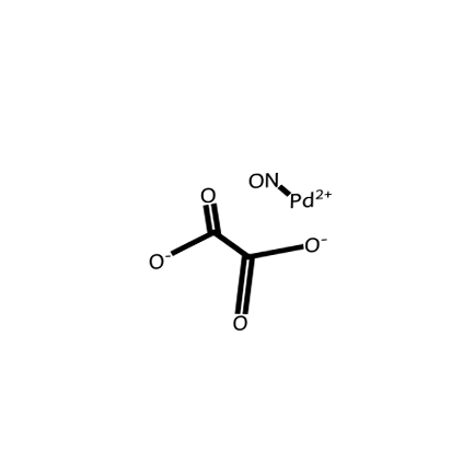 O=C([O-])C(=O)[O-].O=[N][Pd+2]